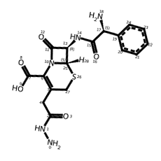 NNC(=O)CC1=C(C(=O)O)N2C(=O)[C@@H](NC(=O)[C@@H](N)c3ccccc3)[C@@H]2SC1